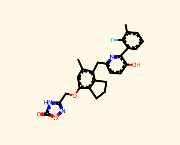 Cc1cccc(-c2nc(Cc3c(C)cc(OCc4noc(=O)[nH]4)c4c3CCC4)ccc2O)c1F